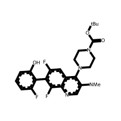 CNc1cnc2c(F)c(-c3c(O)cccc3F)c(F)cc2c1N1CCN(C(=O)OC(C)(C)C)CC1